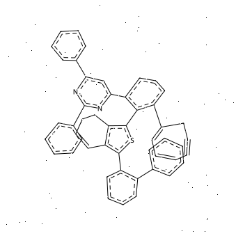 C1#CCC(c2cccc(-c3cc(-c4ccccc4)nc(-c4ccccc4)n3)c2-c2sc(-c3ccccc3-c3ccccc3)c3c2CCC=C3)=CC=C1